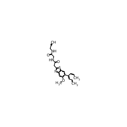 C#CCNC(=O)CNC(=O)Cc1nc2cc(OC)c(C(/C=C\C)=C/C=C)cc2s1